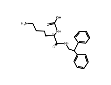 NCCCC[C@@H](NC(=O)O)C(=O)NCC(c1ccccc1)c1ccccc1